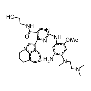 COc1cc(N(C)CCN(C)C)c(N)cc1Nc1ncc(C(=O)NCCO)c(-c2cn3c4c(cccc24)CCC3)n1